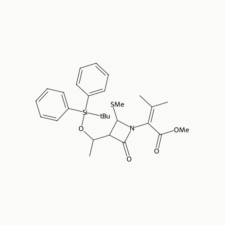 COC(=O)C(=C(C)C)N1C(=O)C(C(C)O[Si](c2ccccc2)(c2ccccc2)C(C)(C)C)C1SC